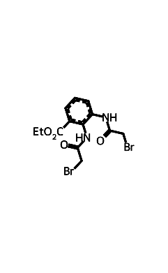 CCOC(=O)c1cccc(NC(=O)CBr)c1NC(=O)CBr